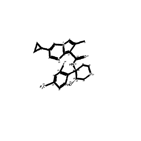 Cc1cn2cc(C3CC3)cnc2c1C(=O)N[C@@]1(c2ccc(C(F)(F)F)cc2F)CCOC[C@@H]1O